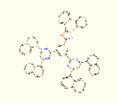 c1ccc2c(-c3cc(-c4cccc5ccccc45)nc(-c4cc(-c5nc(-c6cccc7ccccc67)cc(-c6cccc7ccccc67)n5)cc(-c5nc6c7ccccc7c7ccccc7c6o5)c4)n3)cccc2c1